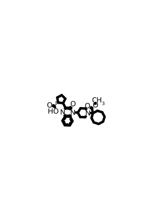 COC(=O)C1(N2CCC(n3c(=O)c(C4CCC[C@H]4C(=O)O)nc4ccccc43)CC2)CCCCCCC1